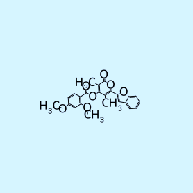 COc1ccc(C(=O)Oc2c(C)c(-c3cc4ccccc4o3)oc(=O)c2C)c(OC)c1